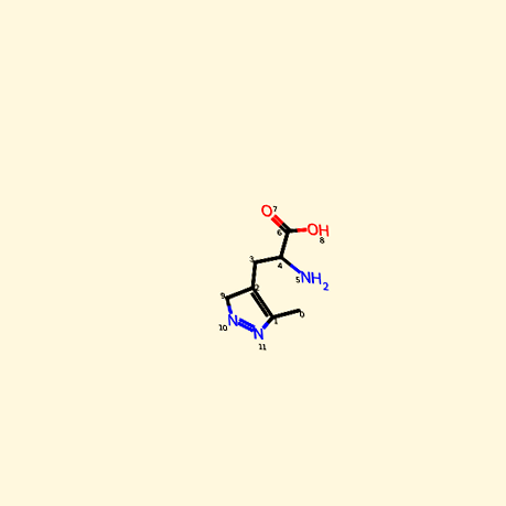 CC1=C(CC(N)C(=O)O)CN=N1